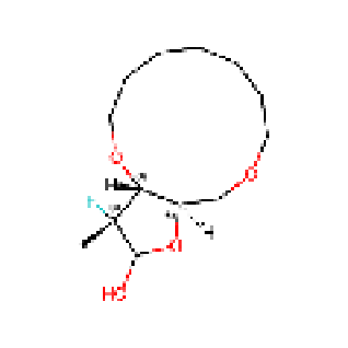 C[C@]1(F)C(O)O[C@@H]2COCCCCCCCO[C@H]21